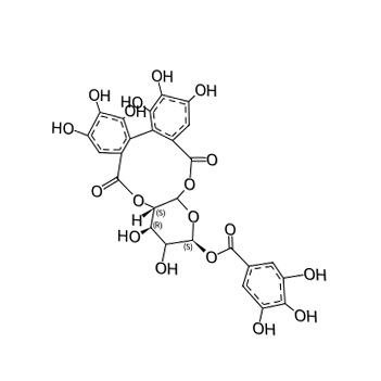 O=C(O[C@@H]1OC2OC(=O)c3cc(O)c(O)c(O)c3-c3c(cc(O)c(O)c3O)C(=O)O[C@H]2[C@H](O)C1O)c1cc(O)c(O)c(O)c1